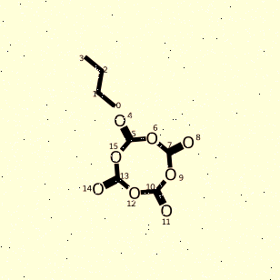 CCCC.O=C1OC(=O)OC(=O)OC(=O)O1